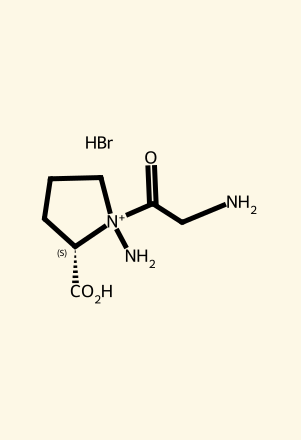 Br.NCC(=O)[N+]1(N)CCC[C@H]1C(=O)O